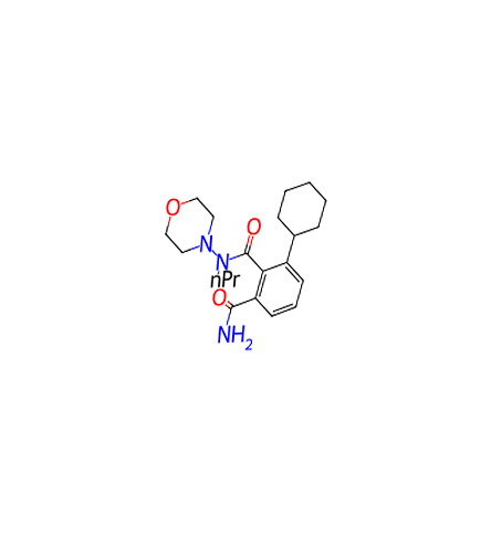 CCCN(C(=O)c1c(C(N)=O)cccc1C1CCCCC1)N1CCOCC1